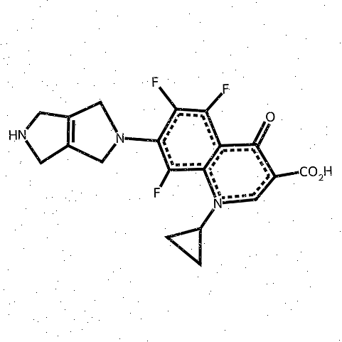 O=C(O)c1cn(C2CC2)c2c(F)c(N3CC4=C(CNC4)C3)c(F)c(F)c2c1=O